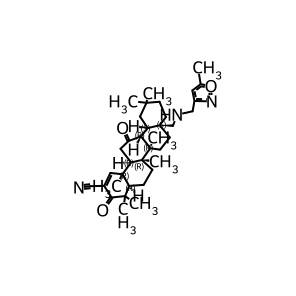 Cc1cc(CNC[C@]23CCC(C)(C)C[C@H]2[C@H]2C(=O)C[C@@H]4[C@@]5(C)C=C(C#N)C(=O)C(C)(C)[C@@H]5CC[C@@]4(C)[C@]2(C)CC3)no1